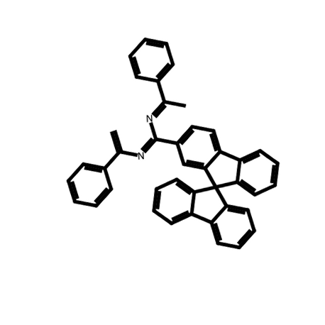 C=C(/N=C(\N=C(/C)c1ccccc1)c1ccc2c(c1)C1(c3ccccc3-c3ccccc31)c1ccccc1-2)c1ccccc1